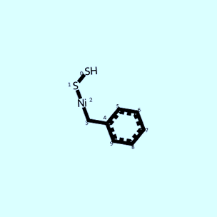 S[S][Ni][CH2]c1ccccc1